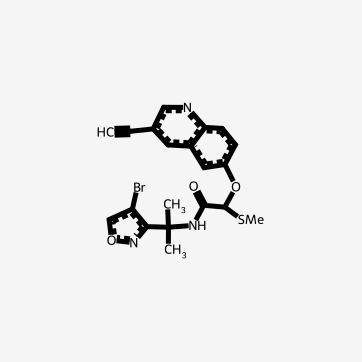 C#Cc1cnc2ccc(OC(SC)C(=O)NC(C)(C)c3nocc3Br)cc2c1